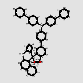 c1ccc(-c2ccc(N(c3ccc(-c4ccccc4)cc3)c3ccc(-c4ccc5c(c4)C4(c6ccccc6Sc6ccc7ccccc7c64)c4ccccc4-5)cc3)cc2)cc1